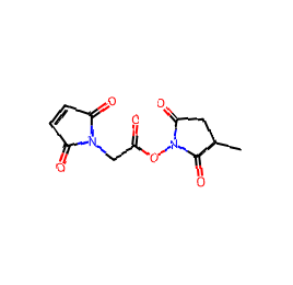 CC1CC(=O)N(OC(=O)CN2C(=O)C=CC2=O)C1=O